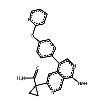 CNc1ncc(-c2ccc(Oc3ccccn3)cc2)c2cc(C3(C(N)=O)CC3)ncc12